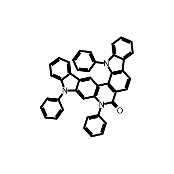 O=c1c2ccc3c4ccccc4n(-c4ccccc4)c3c2c2cc3c4ccccc4n(-c4ccccc4)c3cc2n1-c1ccccc1